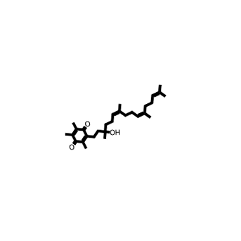 CC(C)=CCCC(C)=CCCC(C)=CCCC(C)(O)CCC1=C(C)C(=O)C(C)=C(C)C1=O